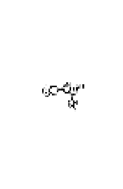 CC1=NC(C2CN(S)c3ncc(C4CCC5(CC4)OCCO5)cc32)CS1